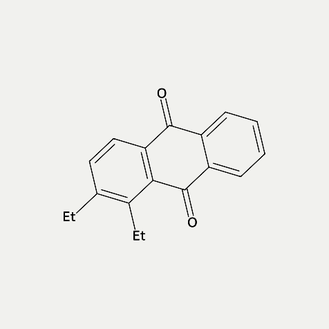 CCc1ccc2c(c1CC)C(=O)c1ccccc1C2=O